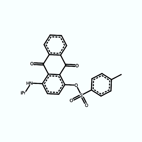 Cc1ccc(S(=O)(=O)Oc2ccc(NC(C)C)c3c2C(=O)c2ccccc2C3=O)cc1